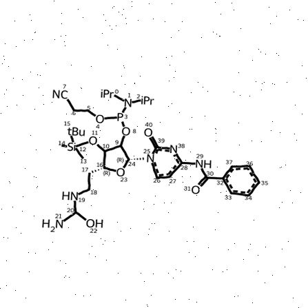 CC(C)N(C(C)C)P(OCCC#N)OC1C(O[Si](C)(C)C(C)(C)C)[C@@H](CCNC(N)O)O[C@H]1n1ccc(NC(=O)c2ccccc2)nc1=O